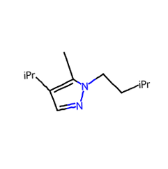 Cc1c(C(C)C)cnn1CCC(C)C